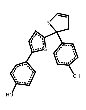 Oc1ccc(-c2ccc(C3(c4ccc(O)cc4)CC=CS3)s2)cc1